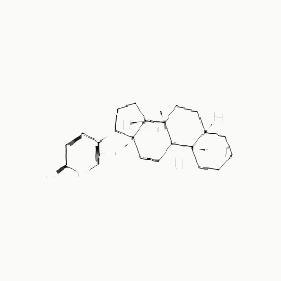 C[C@]12CCCC[C@H]1CC[C@H]1[C@H]3CC[C@H](c4ccc(=O)oc4)[C@@]3(C)CC[C@@H]12